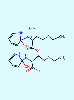 CCSCC[C@H](NC1(O)C=CC=CN1)C(=O)[O-].CCSCC[C@H](NC1(O)C=CC=CN1)C(=O)[O-].[Zn+2]